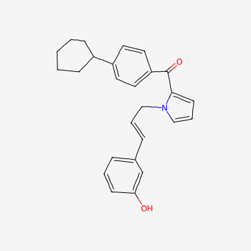 O=C(c1ccc(C2CCCCC2)cc1)c1cccn1C/C=C/c1cccc(O)c1